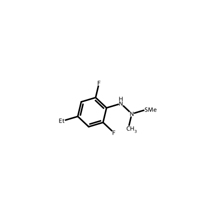 CCc1cc(F)c(NN(C)SC)c(F)c1